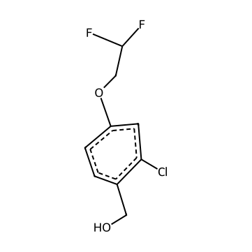 OCc1ccc(OCC(F)F)cc1Cl